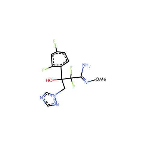 CON=C(N)C(F)(F)C(O)(Cn1cncn1)c1ccc(F)cc1F